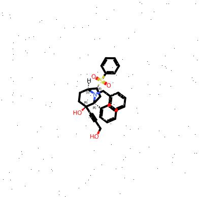 O=S(=O)(c1ccccc1)[C@@H]1C[C@]2(c3ccccc3)N(Cc3ccccc3)[C@H]1CC[C@@]2(O)C#CCO